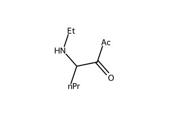 CCCC(NCC)C(=O)C(C)=O